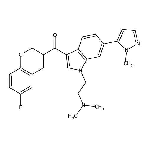 CN(C)CCn1cc(C(=O)C2COc3ccc(F)cc3C2)c2ccc(-c3ccnn3C)cc21